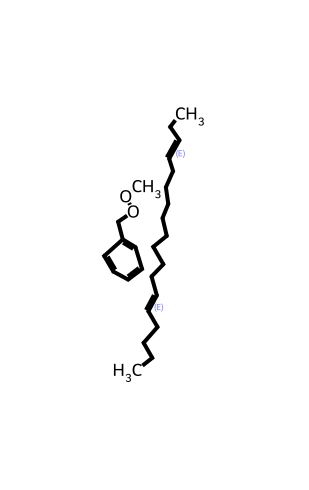 CC/C=C/CCCCCCCC/C=C/CCCC.COOCc1ccccc1